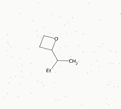 [CH2]C(CC)C1CCO1